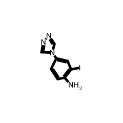 Nc1ccc(-n2cnnc2)cc1I